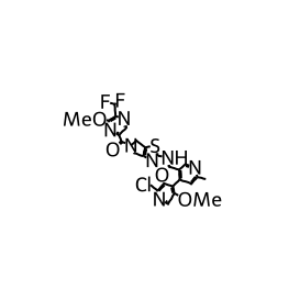 COc1cnc(Cl)cc1-c1cc(C)ncc1C(=O)Nc1nc2c(s1)CN(C(=O)c1cnc(C(F)F)c(OC)n1)C2